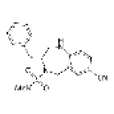 CNS(=O)(=O)N1Cc2cc(C#N)ccc2NC[C@H]1Cc1ccccc1